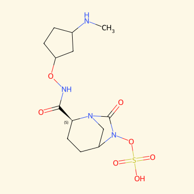 CNC1CCC(ONC(=O)[C@@H]2CCC3CN2C(=O)N3OS(=O)(=O)O)C1